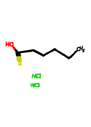 CCCCCC(O)=S.Cl.Cl